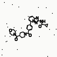 O=C(Nc1nc2cccc(-c3ccc(C(=O)N4CCC(C(=O)N5CCOCC5)CC4)cc3)n2n1)C1CC1